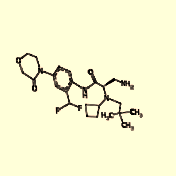 CC(C)(C)CN(C1CCC1)[C@H](CN)C(=O)Nc1ccc(N2CCOCC2=O)cc1C(F)F